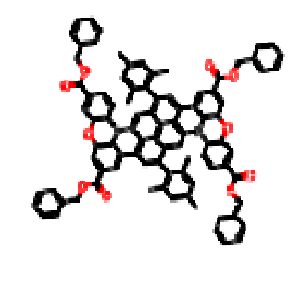 Cc1cc(C)c(-c2cc3c4c(cc5c(-c6c(C)cc(C)cc6C)cc6c7c(cc2c4c57)B2c4ccc(C(=O)OCc5ccccc5)cc4Oc4cc(C(=O)OCc5ccccc5)cc-6c42)B2c4ccc(C(=O)OCc5ccccc5)cc4Oc4cc(C(=O)OCc5ccccc5)cc-3c42)c(C)c1